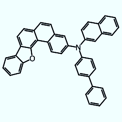 c1ccc(-c2ccc(N(c3ccc4ccccc4c3)c3ccc4c(ccc5ccc6c7ccccc7oc6c54)c3)cc2)cc1